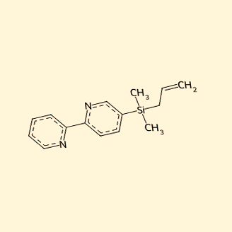 C=CC[Si](C)(C)c1ccc(-c2ccccn2)nc1